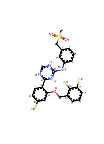 CS(=O)(=O)Cc1cccc(Nc2ncnc(-c3ccc(F)cc3OCc3cccc(F)c3F)n2)c1